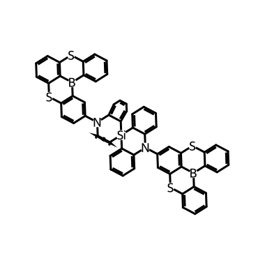 c1ccc2c(c1)Sc1cc(N3c4ccccc4[Si]4(c5ccccc53)c3ccccc3N(c3ccc5c(c3)B3c6ccccc6Sc6cccc(c63)S5)c3ccccc34)cc3c1B2c1ccccc1S3